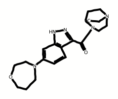 O=C(c1n[nH]c2cc(N3CCCOCC3)ccc12)N1CCN2CCC1CC2